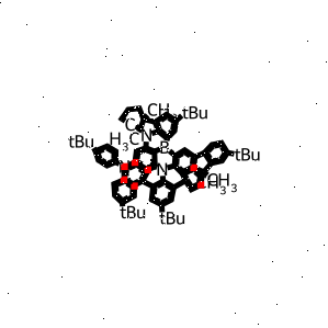 CC(C)(C)c1ccc(N(c2ccc(C(C)(C)C)cc2)c2cc3c4c(c2)N2c5c(cc(C(C)(C)C)cc5C5(C)CCCCC25C)B4c2cc4c(cc2N3c2c(-c3ccccc3)cc(C(C)(C)C)cc2-c2ccccc2)C(C)(C)c2cc(C(C)(C)C)ccc2-4)cc1